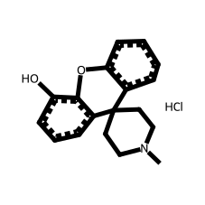 CN1CCC2(CC1)c1ccccc1Oc1c(O)cccc12.Cl